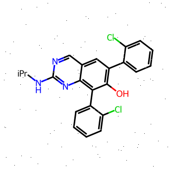 CC(C)Nc1ncc2cc(-c3ccccc3Cl)c(O)c(-c3ccccc3Cl)c2n1